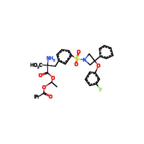 CC(OC(=O)C(C)C)OC(=O)C(N)(Cc1cccc(S(=O)(=O)N2CC(Oc3cccc(F)c3)(c3ccccc3)C2)c1)C(=O)O